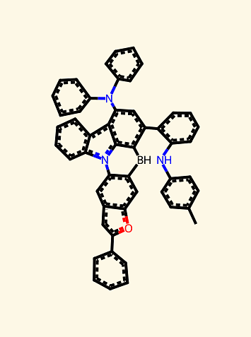 Cc1ccc(Nc2ccccc2-c2cc(N(c3ccccc3)c3ccccc3)c3c4ccccc4n4c3c2Bc2cc3oc(-c5ccccc5)cc3cc2-4)cc1